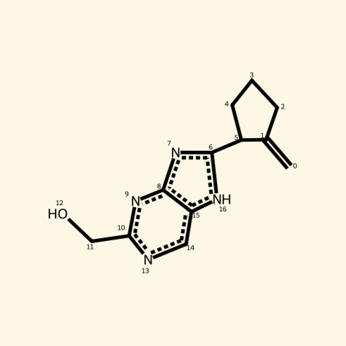 C=C1CCCC1c1nc2nc(CO)ncc2[nH]1